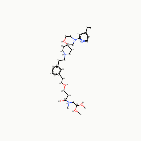 CCc1ccnc(N2CCOC3(CCN(CCc4cccc(CCOCCC(=O)N(C)CC(OC)OC)c4)CC3)C2)c1